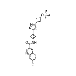 O=C(NC12CC(c3nnc(C4CC(OC(F)(F)F)C4)o3)(C1)C2)c1cnc2cc(Cl)ccc2c1